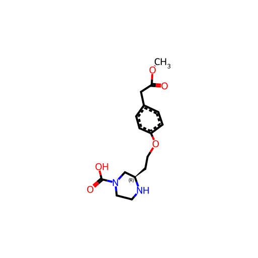 COC(=O)Cc1ccc(OCC[C@@H]2CN(C(=O)O)CCN2)cc1